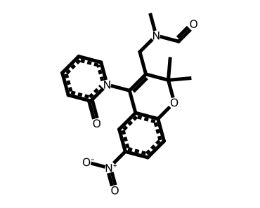 CN(C=O)CC1=C(n2ccccc2=O)c2cc([N+](=O)[O-])ccc2OC1(C)C